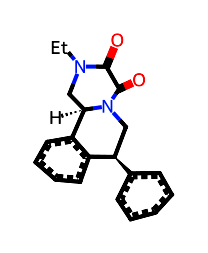 CCN1C[C@@H]2c3ccccc3[C@H](c3ccccc3)CN2C(=O)C1=O